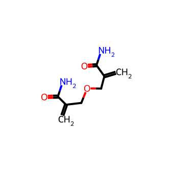 C=C(COCC(=C)C(N)=O)C(N)=O